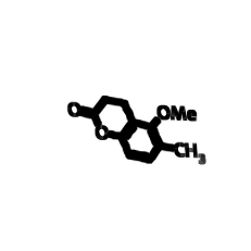 COc1c(C)ccc2c1CCC(=O)O2